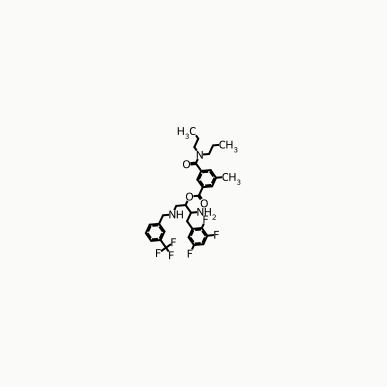 CCCN(CCC)C(=O)c1cc(C)cc(C(=O)OC(CNCc2cccc(C(F)(F)F)c2)C(N)Cc2cc(F)cc(F)c2F)c1